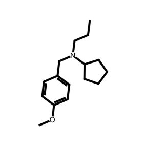 CCCN(Cc1ccc(OC)cc1)C1CCCC1